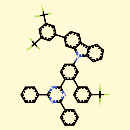 FC(F)(F)c1cccc(-c2cc(-n3c4ccccc4c4ccc(-c5cc(C(F)(F)F)cc(C(F)(F)F)c5)cc43)ccc2-c2nc(-c3ccccc3)nc(-c3ccccc3)n2)c1